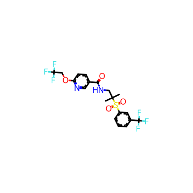 CC(C)(CNC(=O)c1ccc(OCC(F)(F)F)nc1)S(=O)(=O)c1cccc(C(F)(F)F)c1